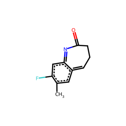 Cc1cc2c(cc1F)=NC(=O)CCC=2